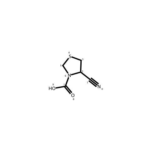 N#CC1CSCN1C(=O)O